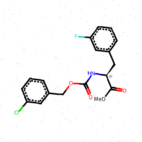 COC(=O)[C@H](Cc1cccc(F)c1)NC(=O)OCc1cccc(Cl)c1